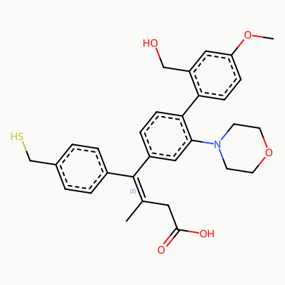 COc1ccc(-c2ccc(/C(=C(/C)CC(=O)O)c3ccc(CS)cc3)cc2N2CCOCC2)c(CO)c1